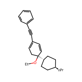 CCC[C@H]1CC[C@H](C2(OCC)C=CC(C#Cc3ccccc3)=CC2)CC1